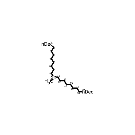 CCCCCCCCCCCCCCCCC[CH2][Sn]([CH3])[CH2]CCCCCCCCCCCCCCCCC